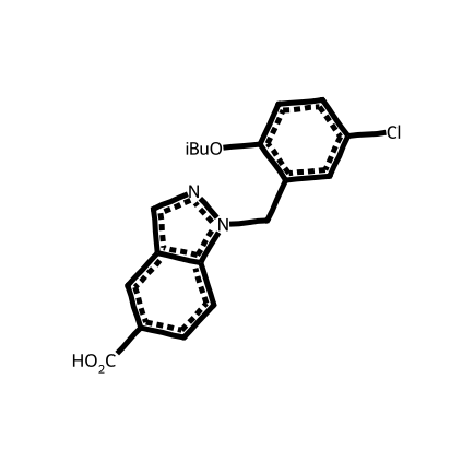 CC(C)COc1ccc(Cl)cc1Cn1ncc2cc(C(=O)O)ccc21